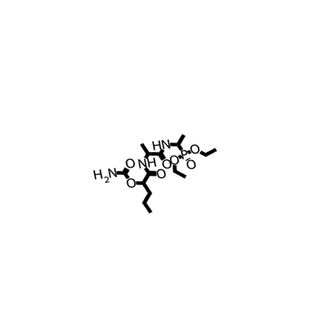 CCCC(OC(N)=O)C(=O)NC(C)C(=O)NC(C)P(=O)(OCC)OCC